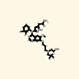 COc1cc2c(N(c3cc(CC(N)=O)[nH]n3)c3cccc(F)c3F)ncnc2cc1OCCCN(CCO)CC(C)(C)C